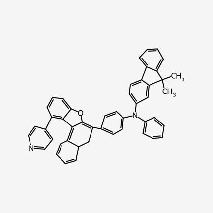 CC1(C)c2ccccc2-c2ccc(N(c3ccccc3)c3ccc(C4=c5oc6cccc(-c7ccncc7)c6c5=C5C=CC=CC5C4)cc3)cc21